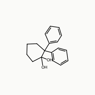 OC1(O)CCCCC1(c1ccccc1)c1ccccc1